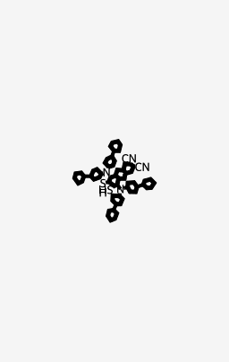 N#Cc1cc2cc3c(N(c4ccc(-c5ccccc5)cc4)c4ccc(-c5ccccc5)cc4)c(S)c(S)c(N(c4ccc(-c5ccccc5)cc4)c4ccc(-c5ccccc5)cc4)c3cc2cc1C#N